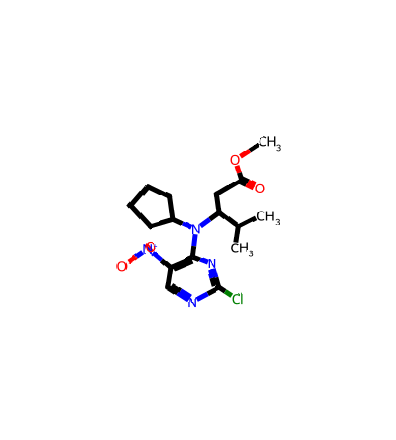 COC(=O)CC(C(C)C)N(c1nc(Cl)ncc1[N+](=O)[O-])C1CCCC1